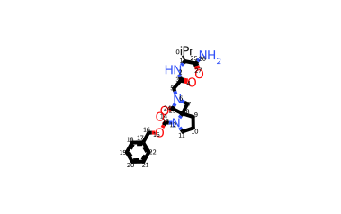 CC(C)[C@H](NC(=O)CN1CC2(CCCN2C(=O)OCc2ccccc2)C1=O)C(N)=O